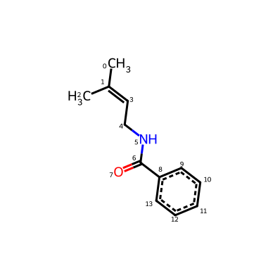 CC(C)=CCNC(=O)c1ccccc1